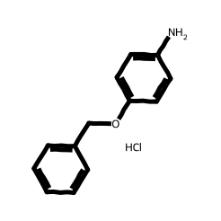 Cl.Nc1ccc(OCc2ccccc2)cc1